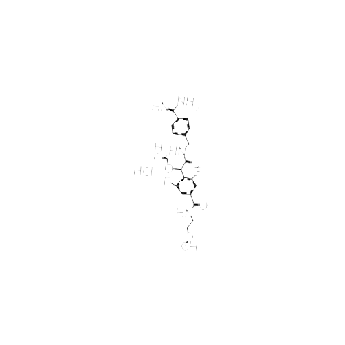 CCOC(C(=O)NCc1ccc(C(=N)N)cc1)c1c(F)cc(C(=O)NCCOC)cc1F.Cl